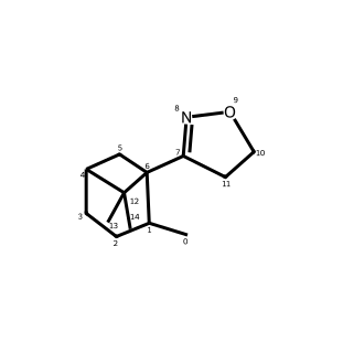 CC1CCC2CC1(C1=NOCC1)C2(C)C